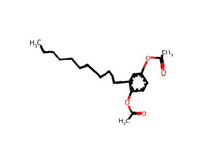 CCCCCCCCCCc1cc(OC(C)=O)ccc1OC(C)=O